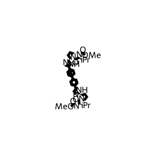 COC(=O)N(C)[C@H](C(=O)N1CCC[C@H]1c1ncc(-c2ccc(C34CCC(c5cnc([C@@H]6CCCN6C(=O)[C@H](C(C)C)N(C)C(=O)OC)[nH]5)(CC3)CC4)cc2)[nH]1)C(C)C